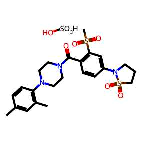 Cc1ccc(N2CCN(C(=O)c3ccc(N4CCCS4(=O)=O)cc3S(C)(=O)=O)CC2)c(C)c1.O=S(=O)(O)O